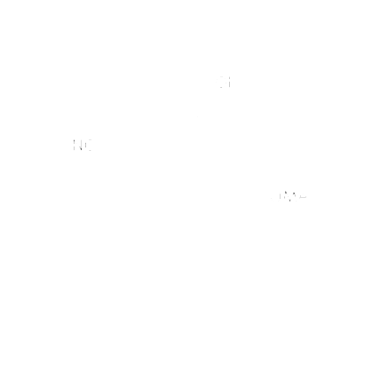 COc1ccccc1-c1cc(O)cc(C#N)c1